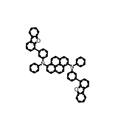 c1ccc(N(c2cccc(-c3cccc4c3oc3ccccc34)c2)c2ccc3ccc4c(N(c5ccccc5)c5cccc(-c6cccc7c6oc6ccccc67)c5)ccc5ccc2c3c54)cc1